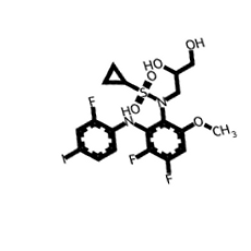 COc1cc(F)c(F)c(Nc2ccc(I)cc2F)c1N(CC(O)CO)S(=O)(=O)C1CC1